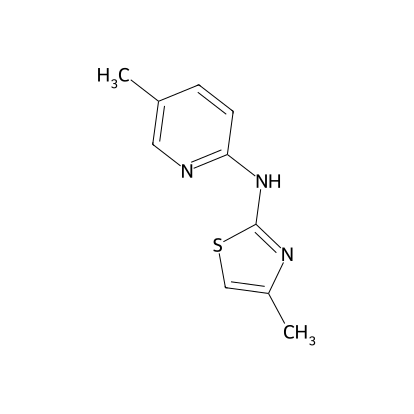 Cc1ccc(Nc2nc(C)cs2)nc1